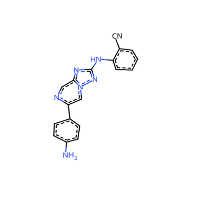 N#Cc1ccccc1Nc1nc2cnc(-c3ccc(N)cc3)cn2n1